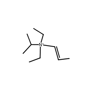 CC=C[N+](CC)(CC)C(C)C